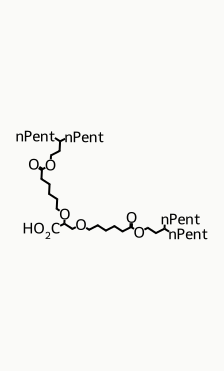 CCCCCC(CCCCC)CCOC(=O)CCCCCOCC(OCCCCCC(=O)OCCC(CCCCC)CCCCC)C(=O)O